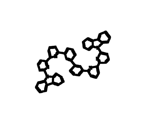 c1cc(-c2cccc(-c3cccc(-c4cccc(-n5c6ccccc6c6ccccc65)n4)n3)c2)cc(-c2cccc(-c3cccc(-n4c5ccccc5c5ccccc54)n3)n2)c1